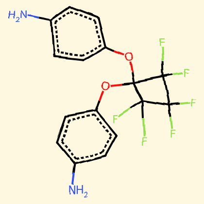 Nc1ccc(OC2(Oc3ccc(N)cc3)C(F)(F)C(F)(F)C2(F)F)cc1